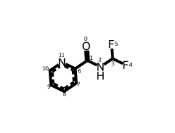 O=C(NC(F)F)c1ccccn1